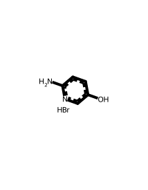 Br.Nc1ccc(O)cn1